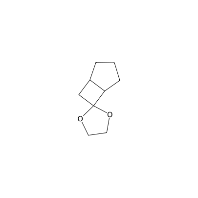 C1CC2CC3(OCCO3)C2C1